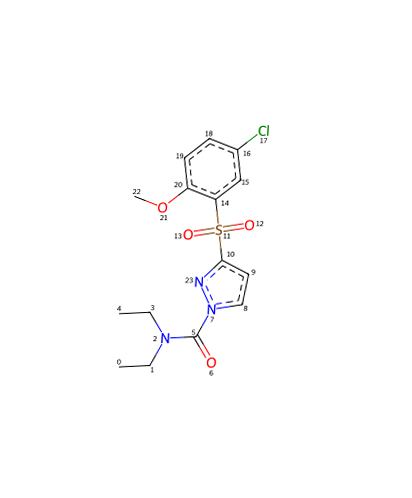 CCN(CC)C(=O)n1ccc(S(=O)(=O)c2cc(Cl)ccc2OC)n1